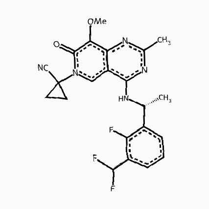 COc1c(=O)n(C2(C#N)CC2)cc2c(N[C@H](C)c3cccc(C(F)F)c3F)nc(C)nc12